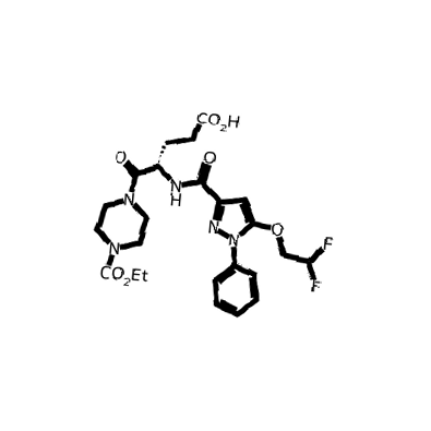 CCOC(=O)N1CCN(C(=O)[C@H](CCC(=O)O)NC(=O)c2cc(OCC(F)F)n(-c3ccccc3)n2)CC1